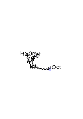 CCCCCCCC/C=C\CCCCCCCCOCC(C[N+](C)(C)CCCC(OCCOCCO)OCCOCCO)OCCCCCCCC/C=C\CCCCCCCC.[Cl-]